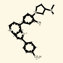 CN(C)C1CCN(c2ccc(-c3ccnc4cc(-c5ccc(C(=O)O)cc5)oc34)cc2C#N)C1